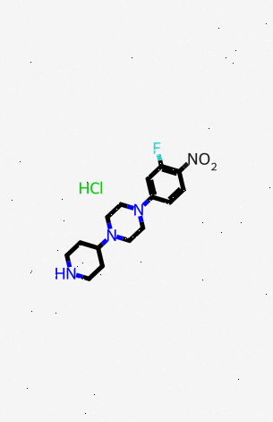 Cl.O=[N+]([O-])c1ccc(N2CCN(C3CCNCC3)CC2)cc1F